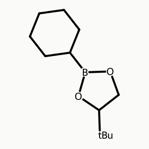 CC(C)(C)C1COB(C2CCCCC2)O1